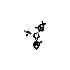 CC1C(N2C=[N+](C3=CC4CC(C3C)C4(C)C)CC2)=CC2CC1C2(C)C.F[B-](F)(F)F